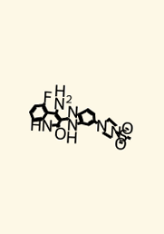 CS(=O)(=O)N1CCN(c2ccc3nc(-c4c(N)c5c(F)cccc5[nH]c4=O)[nH]c3c2)CC1